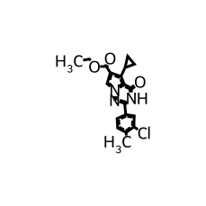 CCOC(=O)c1cn2nc(-c3ccc(C)c(Cl)c3)[nH]c(=O)c2c1C1CC1